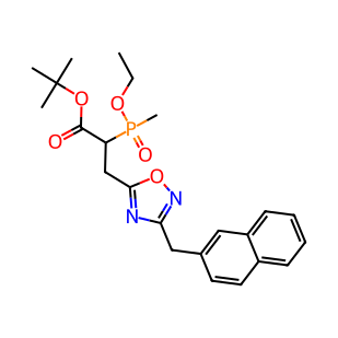 CCOP(C)(=O)C(Cc1nc(Cc2ccc3ccccc3c2)no1)C(=O)OC(C)(C)C